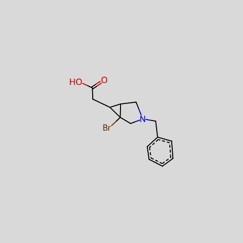 O=C(O)CC1C2CN(Cc3ccccc3)CC12Br